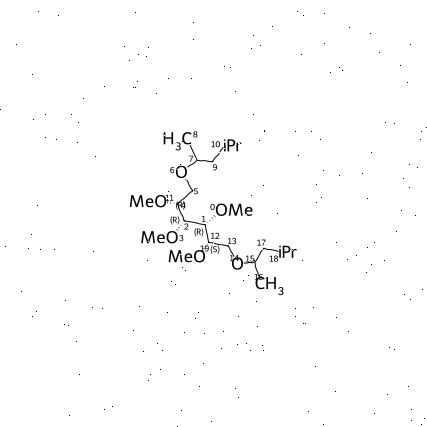 CO[C@@H]([C@H](OC)[C@@H](COC(C)CC(C)C)OC)[C@H](COC(C)CC(C)C)OC